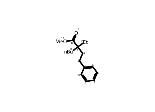 CCCCC(CC)(CCc1ccccc1)C(=O)OC